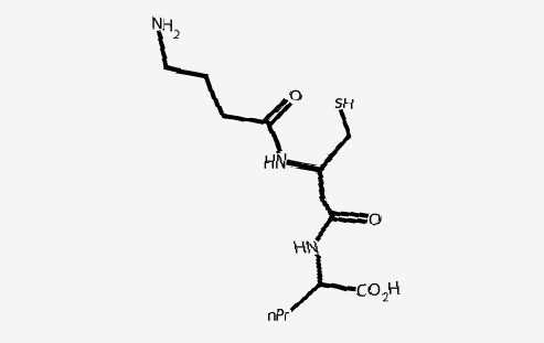 CCCC(NC(=O)C(CS)NC(=O)CCCN)C(=O)O